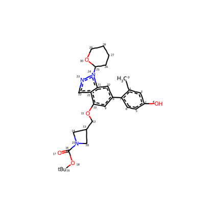 Cc1cc(O)ccc1-c1cc(OCC2CN(C(=O)OC(C)(C)C)C2)c2cnn(C3CCCCO3)c2c1